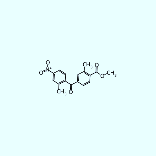 COC(=O)c1ccc(C(=O)c2ccc([N+](=O)[O-])cc2C)cc1C